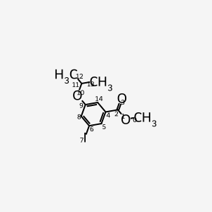 COC(=O)c1cc(I)cc(OC(C)C)c1